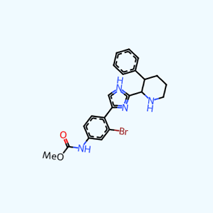 COC(=O)Nc1ccc(-c2c[nH]c(C3NCCCC3c3ccccc3)n2)c(Br)c1